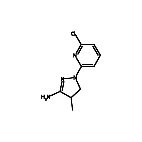 CC1CN(c2cccc(Cl)n2)N=C1N